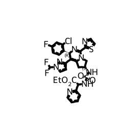 CCOC(=O)C(NS(=O)(=O)N[C@H]1CC2=C(c3ccn(C(F)F)n3)[C@H](c3ccc(F)cc3Cl)N=C(c3nccs3)N2C1)c1ccccn1